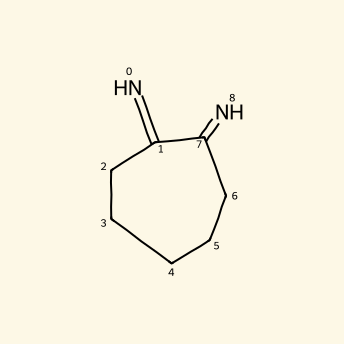 N=C1CCCCCC1=N